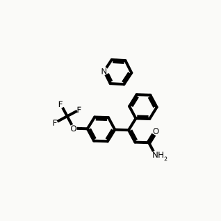 NC(=O)/C=C(\c1ccccc1)c1ccc(OC(F)(F)F)cc1.c1ccncc1